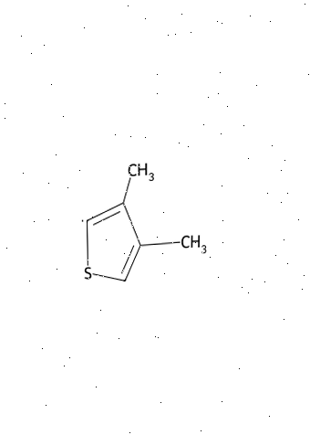 Cc1[c]scc1C